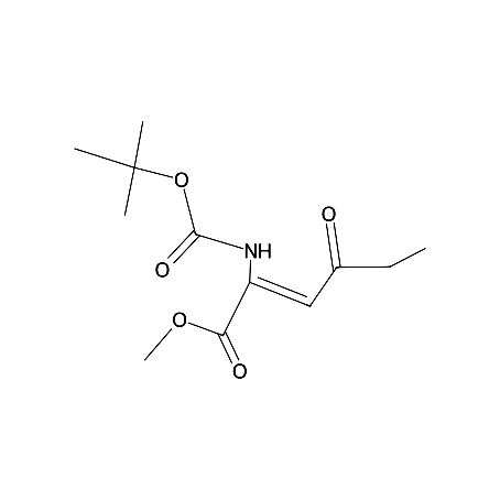 CCC(=O)/C=C(\NC(=O)OC(C)(C)C)C(=O)OC